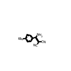 CC(C)(C)c1ccc(C(N)=C(C#N)C#N)cc1